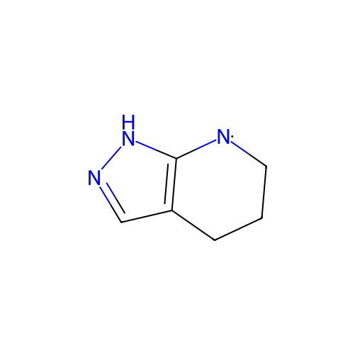 c1n[nH]c2c1CCC[N]2